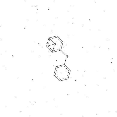 c1ccc([N]c2ccc3c4c2N34)cc1